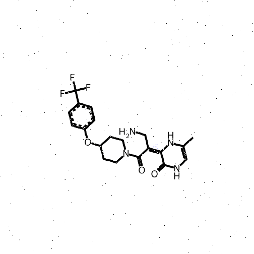 CC1=CNC(=O)/C(=C(/CN)C(=O)N2CCC(Oc3ccc(C(F)(F)F)cc3)CC2)N1